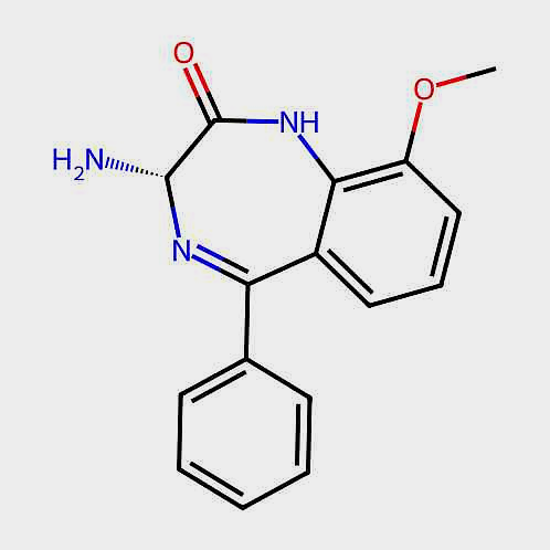 COc1cccc2c1NC(=O)[C@@H](N)N=C2c1ccccc1